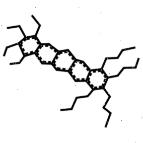 CCCCc1c(CCCC)c(CCCC)c2cc3cc4cc5c(CC)c(CC)c(CC)c(CC)c5cc4cc3cc2c1CCCC